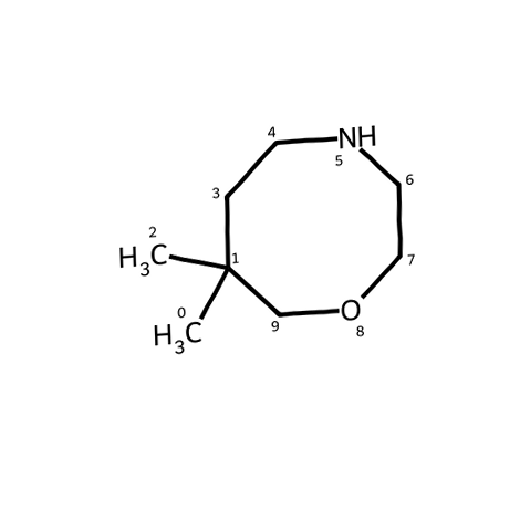 CC1(C)CCNCCOC1